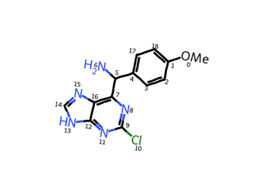 COc1ccc(C(N)c2nc(Cl)nc3[nH]cnc23)cc1